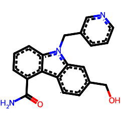 NC(=O)c1cccc2c1c1[c]cc(CO)cc1n2Cc1cccnc1